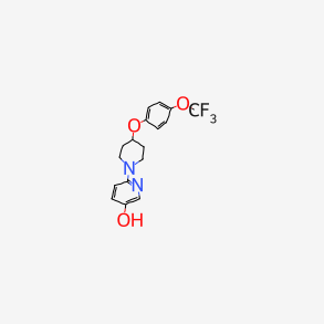 Oc1ccc(N2CCC(Oc3ccc(OC(F)(F)F)cc3)CC2)nc1